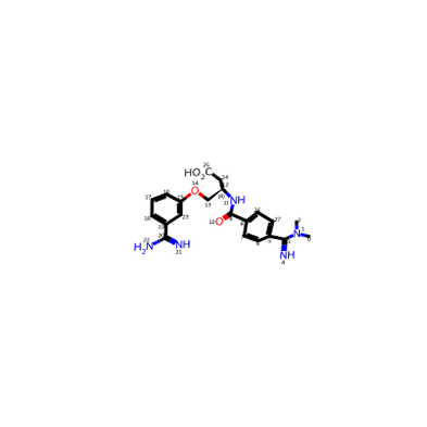 CN(C)C(=N)c1ccc(C(=O)N[C@@H](COc2cccc(C(=N)N)c2)CC(=O)O)cc1